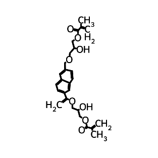 C=C(C)C(=O)OCC(O)COCc1ccc2cc(C(=C)OCC(O)COC(=O)C(=C)C)ccc2c1